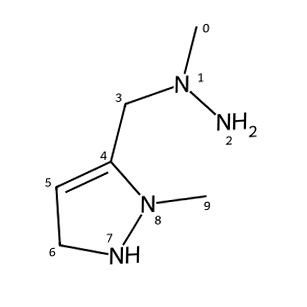 CN(N)CC1=CCNN1C